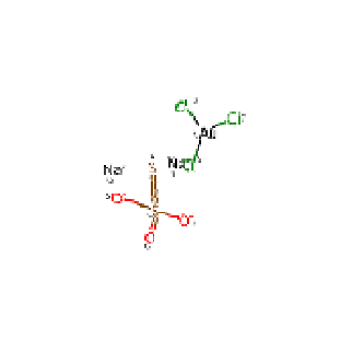 O=S([O-])([O-])=S.[Cl][Au]([Cl])[Cl].[Na+].[Na+]